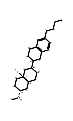 CCCCc1ccc2c(c1)CCC(C1CCC3C[C@H](OC)CC[C@@H]3C1)C2